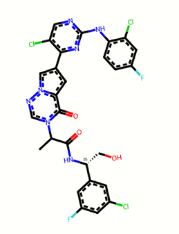 CC(C(=O)N[C@H](CO)c1cc(F)cc(Cl)c1)n1cnn2cc(-c3nc(Nc4ccc(F)cc4Cl)ncc3Cl)cc2c1=O